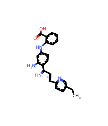 CCc1ccc(/C=C/C(=N)c2ccc(Nc3ccccc3C(=O)O)cc2N)nc1